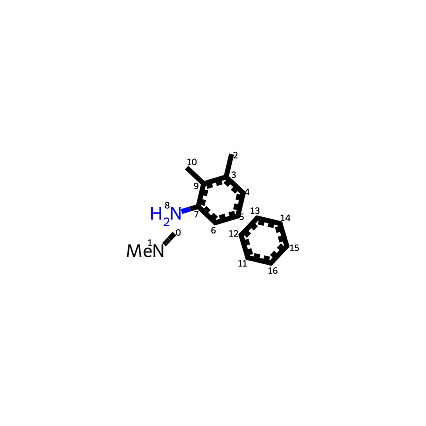 CNC.Cc1cccc(N)c1C.c1ccccc1